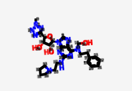 Cn1nnc([C@H]2O[C@@H](n3cnc4c(N(CO)CCc5ccccc5)nc(NCCN5CCCC5)nc43)[C@H](O)[C@@H]2O)n1